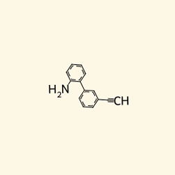 C#Cc1cccc(-c2ccccc2N)c1